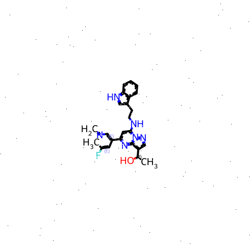 C=N/C=C(\C=C(/C)F)c1cc(NCCc2c[nH]c3ccccc23)n2ncc([C@@H](C)O)c2n1